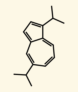 CC(C)c1cccc2c(C(C)C)ccc-2c1